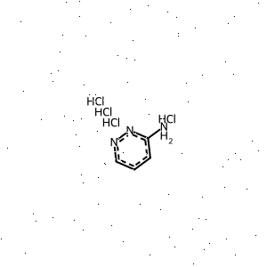 Cl.Cl.Cl.Cl.Nc1cccnn1